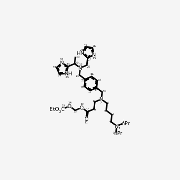 CCCN(CCC)CCCCN(CCC(=O)OCOC(=O)OCC)Cc1ccc(CN(Cc2ncc[nH]2)C(C)c2ncc[nH]2)cc1